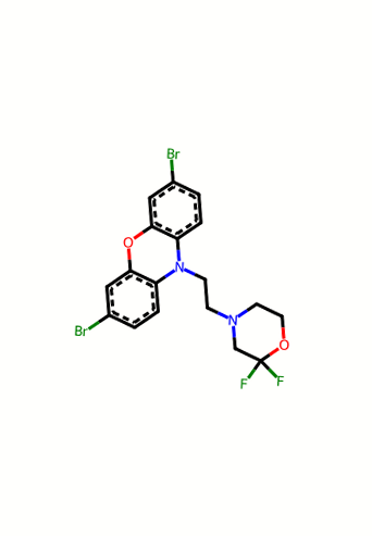 FC1(F)CN(CCN2c3ccc(Br)cc3Oc3cc(Br)ccc32)CCO1